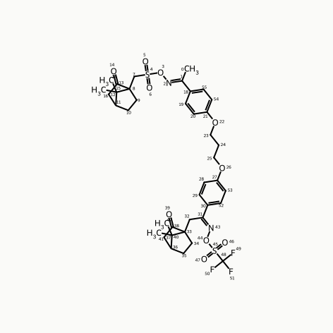 C/C(=N\OS(=O)(=O)CC12CCC(CC1=O)C2(C)C)c1ccc(OCCCOc2ccc(/C(CC34CCC(CC3=O)C4(C)C)=N/OS(=O)(=O)C(F)(F)F)cc2)cc1